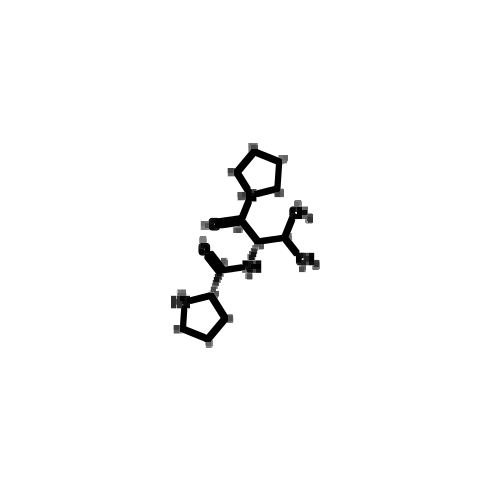 CC(C)[C@H](NC(=O)[C@@H]1CCCN1)C(=O)N1CCCC1